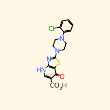 O=C(O)c1c[nH]c2nc(N3CCN(c4ccccc4Cl)CC3)sc2c1=O